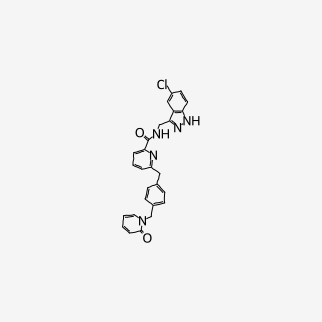 O=C(NCc1n[nH]c2ccc(Cl)cc12)c1cccc(Cc2ccc(Cn3ccccc3=O)cc2)n1